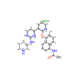 CCCC(=O)Nc1cccc2c(Oc3ncccc3-c3ccnc(N[C@H]4CCCNC4)n3)c(C)ccc12.Cl